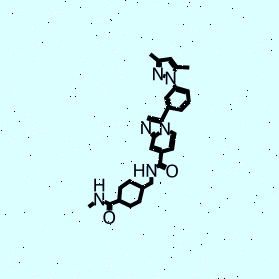 CNC(=O)C1CCC(CNC(=O)c2ccn3c(-c4cccc(-n5nc(C)cc5C)c4)cnc3c2)CC1